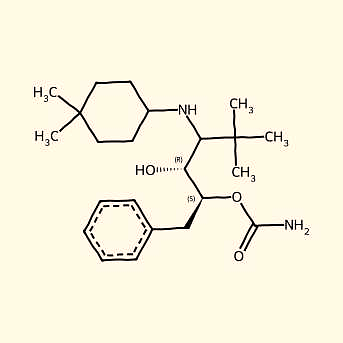 CC1(C)CCC(NC([C@@H](O)[C@H](Cc2ccccc2)OC(N)=O)C(C)(C)C)CC1